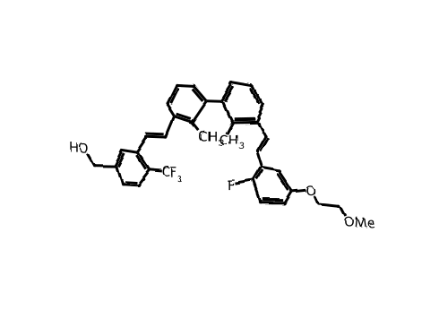 COCCOc1ccc(F)c(/C=C/c2cccc(-c3cccc(/C=C/c4cc(CO)ccc4C(F)(F)F)c3C)c2C)c1